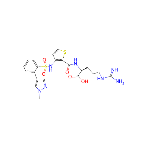 Cn1cc(-c2ccccc2S(=O)(=O)Nc2ccsc2C(=O)N[C@@H](CCCNC(=N)N)C(=O)O)cn1